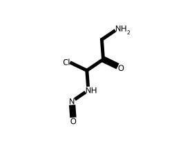 NCC(=O)C(Cl)NN=O